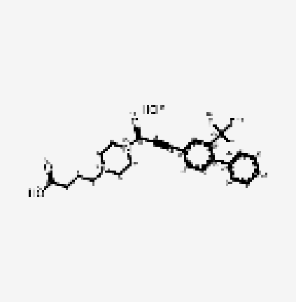 Cl.O=C(O)CCCN1CCN(C(=O)C#Cc2ccc(-c3ccccc3)c(C(F)(F)F)c2)CC1